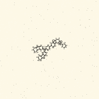 c1ccc(-c2nc3c(ccc4oc5cc(-c6ccc(N(c7ccc8sc9ccccc9c8c7)c7ccc8sc9ccccc9c8c7)cc6)ccc5c43)o2)cc1